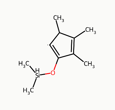 CC1=C(C)C(C)[C]=C1O[SiH](C)C